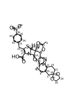 CC(=O)OC(c1nc2ncc3c(n2n1)CCC1(C3)OCCO1)C1(Br)C(=O)N2C(C(=O)O)=C(Cc3ccc([N+](=O)[O-])cc3)S[C@@H]21